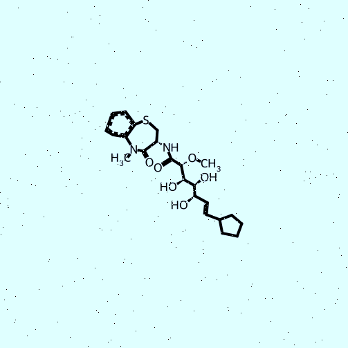 CO[C@@H](C(=O)N[C@H]1CSc2ccccc2N(C)C1=O)[C@H](O)[C@@H](O)[C@H](O)C=CC1CCCC1